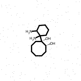 NC1CCCCC1(N)[C@]1(O)CCCCCC[C@H]1O